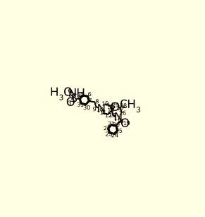 CN[S+]([O-])c1ccc(CCN2CCC3(CC2)CN(C(=O)c2ccccc2)CC(C)O3)cc1